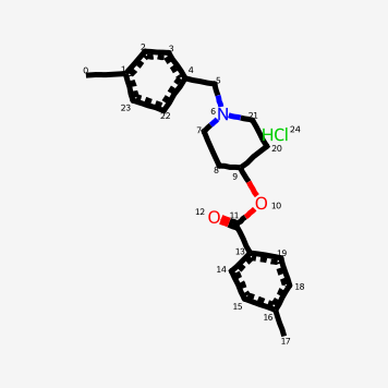 Cc1ccc(CN2CCC(OC(=O)c3ccc(C)cc3)CC2)cc1.Cl